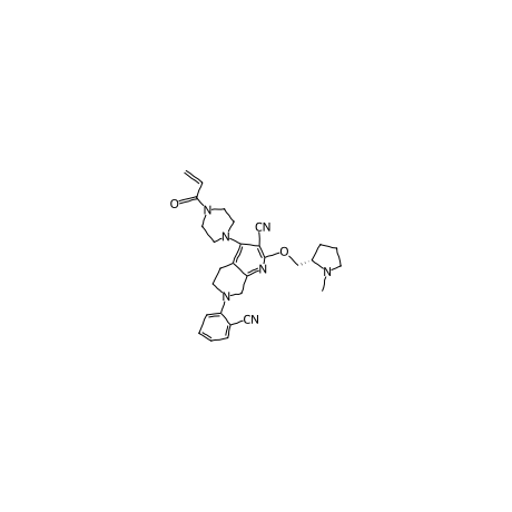 C=CC(=O)N1CCN(c2c(C#N)c(OC[C@@H]3CCCN3C)nc3c2CCN(c2ccccc2C#N)C3)CC1